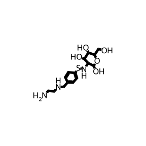 NCCNCc1ccc(SNC2C(O)OC(CO)C(O)C2O)cc1